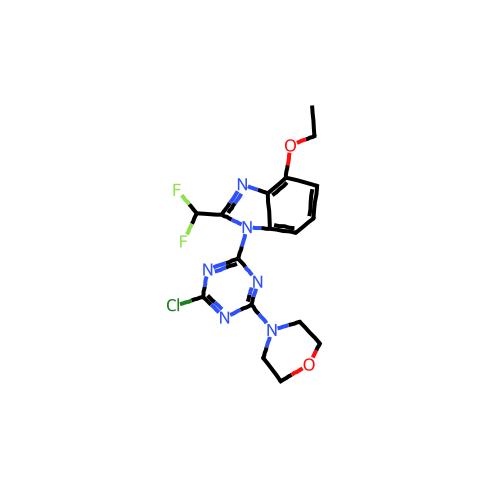 CCOc1cccc2c1nc(C(F)F)n2-c1nc(Cl)nc(N2CCOCC2)n1